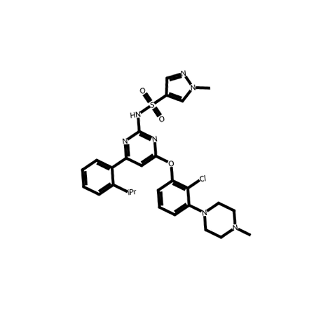 CC(C)c1ccccc1-c1cc(Oc2cccc(N3CCN(C)CC3)c2Cl)nc(NS(=O)(=O)c2cnn(C)c2)n1